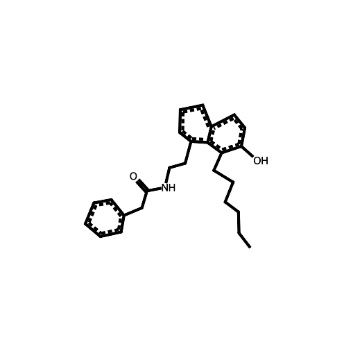 CCCCCCc1c(O)ccc2cccc(CCNC(=O)Cc3ccccc3)c12